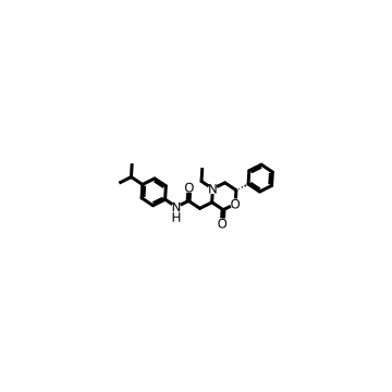 CCN1C[C@H](c2ccccc2)OC(=O)C1CC(=O)Nc1ccc(C(C)C)cc1